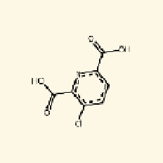 O=C(O)c1ccc(Cl)c(C(=O)O)n1